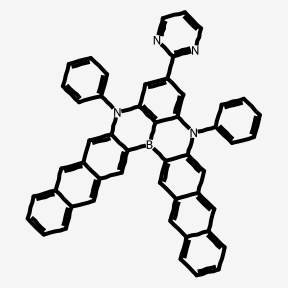 c1ccc(N2c3cc4cc5ccccc5cc4cc3B3c4cc5cc6ccccc6cc5cc4N(c4ccccc4)c4cc(-c5ncccn5)cc2c43)cc1